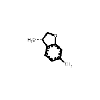 Cc1ccc2c(c1)OC[C@H]2C